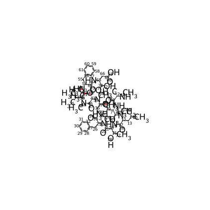 CN[C@@H](C)C(=O)N[C@H](C(=O)N(C)[C@@H](CC(C)C)C(=O)N[C@H](C(=O)N(C)[C@@H](Cc1ccccc1)C(=O)NCC(=O)N(C)[C@@H](CC(C)C)C(=O)N(C)[C@H](C(=O)N[C@@H](Cc1ccccc1)C(=O)N[C@@H](CC(=O)O)C(=O)O)C(C)C)[C@@H](C)O)C(C)C